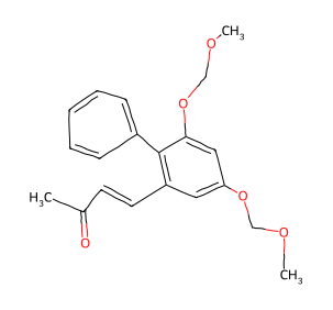 COCOc1cc(C=CC(C)=O)c(-c2ccccc2)c(OCOC)c1